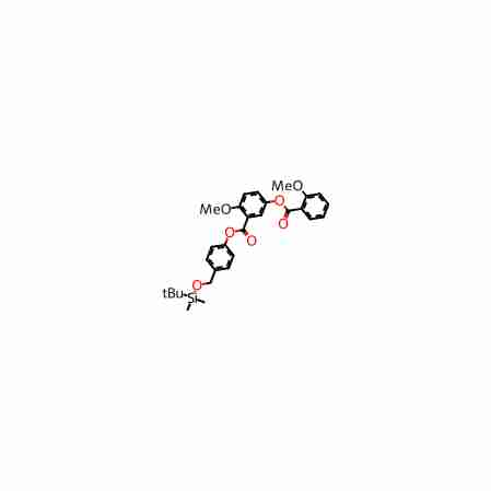 COc1ccccc1C(=O)Oc1ccc(OC)c(C(=O)Oc2ccc(CO[Si](C)(C)C(C)(C)C)cc2)c1